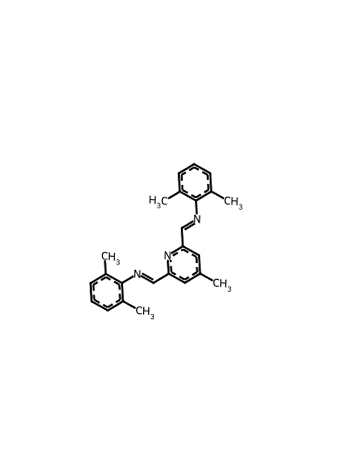 Cc1cc(C=Nc2c(C)cccc2C)nc(C=Nc2c(C)cccc2C)c1